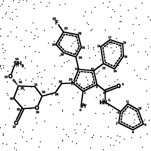 CC(C)c1c(C(=O)Nc2ccccc2)c(-c2ccccc2)c(-c2ccc(F)cc2)n1CCC1C[C@@H](O[SiH3])CC(=O)O1